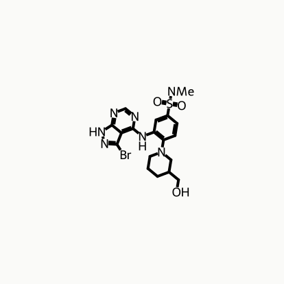 CNS(=O)(=O)c1ccc(N2CCCC(CO)C2)c(Nc2ncnc3[nH]nc(Br)c23)c1